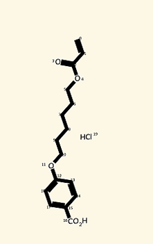 C=CC(=O)OCCCCCCOc1ccc(C(=O)O)cc1.Cl